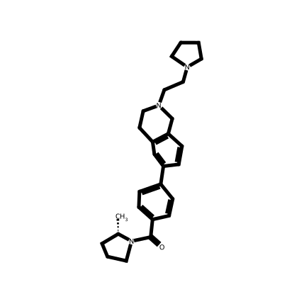 C[C@H]1CCCN1C(=O)c1ccc(-c2ccc3c(c2)CCN(CCN2CCCC2)C3)cc1